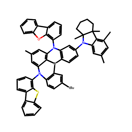 Cc1cc2c3c(c1)N(c1cccc4c1sc1ccccc14)c1ccc(C(C)(C)C)cc1B3c1ccc(N3c4cc(C)cc(C)c4C4(C)CCCCC34C)cc1N2c1cccc2c1oc1ccccc12